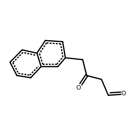 O=CCC(=O)Cc1ccc2ccccc2c1